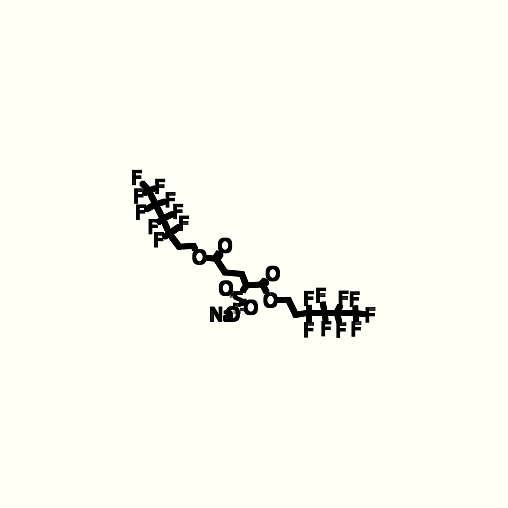 O=C(CCC(C(=O)OCCC(F)(F)C(F)(F)C(F)(F)C(F)(F)F)S(=O)(=O)[O-])OCCC(F)(F)C(F)(F)C(F)(F)C(F)(F)F.[Na+]